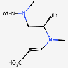 CNN(C)C[C@@H](C(C)C)N(C)/C=C/C(=O)O